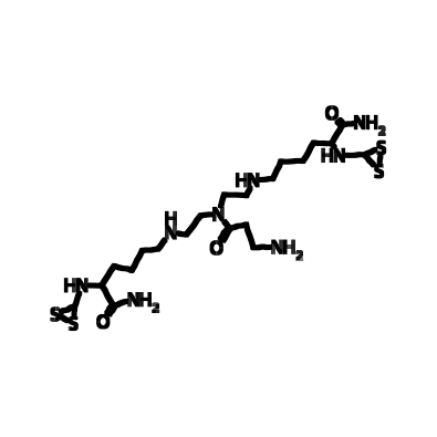 NCCC(=O)N(CCNCCCCC(NC1SS1)C(N)=O)CCNCCCCC(NC1SS1)C(N)=O